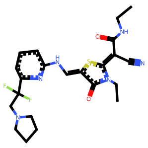 CCNC(=O)C(C#N)=c1sc(=CNc2cccc(C(F)(F)CN3CCCC3)n2)c(=O)n1CC